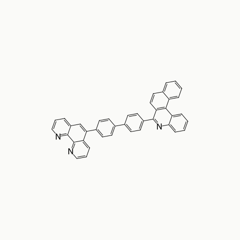 c1ccc2c(c1)ccc1c(-c3ccc(-c4ccc(-c5cc6cccnc6c6ncccc56)cc4)cc3)nc3ccccc3c12